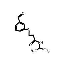 CC(C)NC(=O)CCOc1cccc(C=O)c1